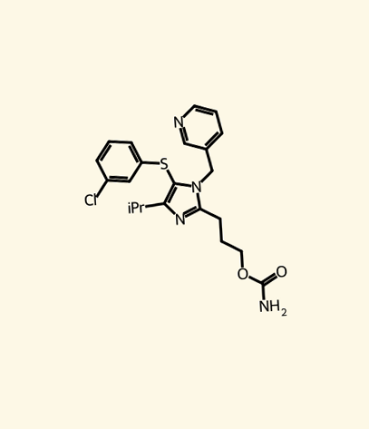 CC(C)c1nc(CCCOC(N)=O)n(Cc2cccnc2)c1Sc1cccc(Cl)c1